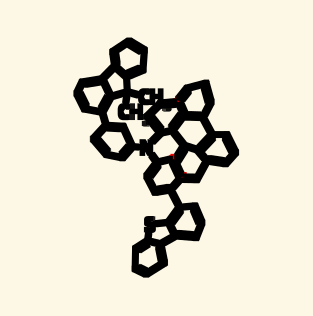 CC1(C)c2ccccc2-c2cccc(-c3cccc(N(c4ccc(-c5cccc6c5sc5ccccc56)cc4)c4ccccc4-c4cccc5cccc(-c6ccccc6)c45)c3)c21